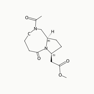 COC(=O)C[C@@H]1CC[C@@H]2CN(C(C)=O)CCCC(=O)N21